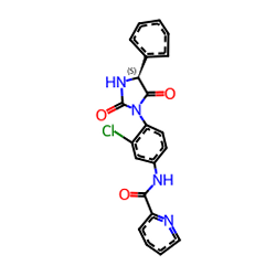 O=C(Nc1ccc(N2C(=O)N[C@@H](c3ccccc3)C2=O)c(Cl)c1)c1ccccn1